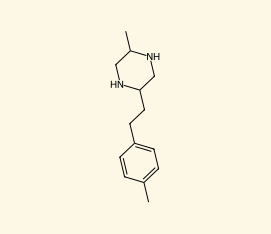 Cc1ccc(CCC2CNC(C)CN2)cc1